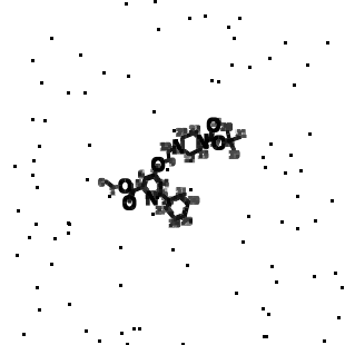 CCOC(=O)c1cc(OCCN2CCN(C(=O)OC(C)(C)C)CC2)cc(-c2ccccc2)n1